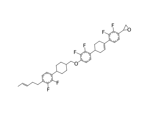 C/C=C/CCc1ccc(C2CCC(COc3ccc(C4CC=C(c5ccc(C6CO6)c(F)c5F)CC4)c(F)c3F)CC2)c(F)c1F